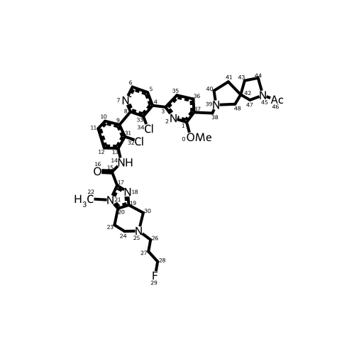 COc1nc(-c2ccnc(-c3cccc(NC(=O)c4nc5c(n4C)CCN(CCCF)C5)c3Cl)c2Cl)ccc1CN1CCC2(CCN(C(C)=O)C2)C1